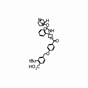 CC(C)(C)c1cc(COc2ccc(C(=O)N3CC(NC(=O)O[C@H]4CN5CCC4CC5)(c4ccccc4)C3)cc2)ccc1C(=O)O